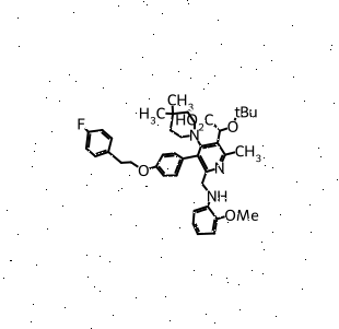 COc1ccccc1NCc1nc(C)c([C@H](OC(C)(C)C)C(=O)O)c(N2CCC(C)(C)CC2)c1-c1ccc(OCCc2ccc(F)cc2)cc1